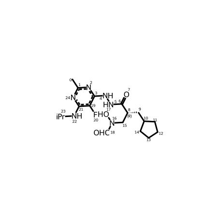 Cc1nc(NNC(=O)[C@H](CC2CCCC2)CN(O)C=O)c(F)c(NC(C)C)n1